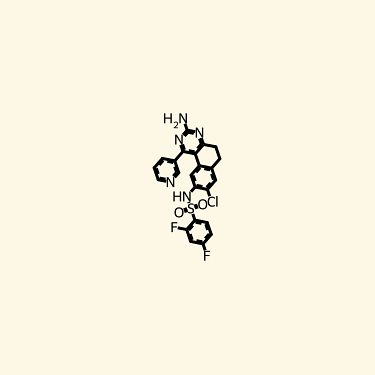 Nc1nc2c(c(-c3cccnc3)n1)-c1cc(NS(=O)(=O)c3ccc(F)cc3F)c(Cl)cc1CC2